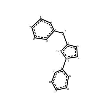 c1ccc(Sc2ccn(-c3ccccc3)n2)cc1